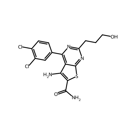 NC(=O)c1sc2nc(CCCO)nc(-c3ccc(Cl)c(Cl)c3)c2c1N